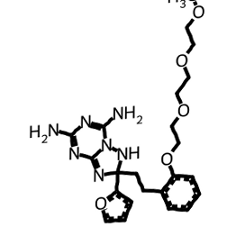 COCCOCCOCCOc1ccccc1CCC1(c2ccco2)N=C2N=C(N)N=C(N)N2N1